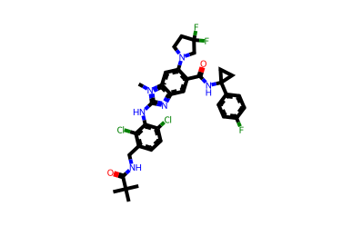 Cn1c(Nc2c(Cl)ccc(CNC(=O)C(C)(C)C)c2Cl)nc2cc(C(=O)NC3(c4ccc(F)cc4)CC3)c(N3CCC(F)(F)C3)cc21